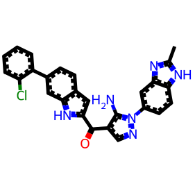 Cc1nc2cc(-n3ncc(C(=O)c4cc5ccc(-c6ccccc6Cl)cc5[nH]4)c3N)ccc2[nH]1